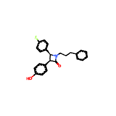 O=C1[C@@H](c2ccc(O)cc2)[C@@H](c2ccc(F)cc2)N1CCCc1ccccc1